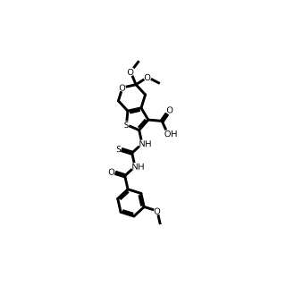 COc1cccc(C(=O)NC(=S)Nc2sc3c(c2C(=O)O)CC(OC)(OC)OC3)c1